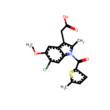 COc1cc2c(CC(=O)O)c(C)n(C(=O)c3ccc(C)s3)c2cc1Cl